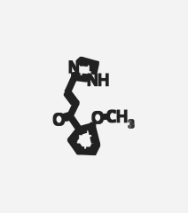 COc1ccccc1C(=O)/C=C/c1ncc[nH]1